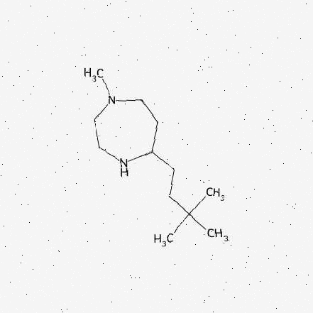 CN1CCNC(CCC(C)(C)C)CC1